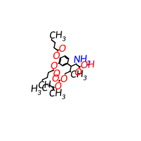 CCCCC(=O)Oc1ccc(C(C(C)COC(=O)OC(C)CC)[C@H](N)C(=O)O)cc1OC(=O)CCCC